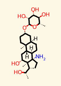 C[C@H](O)[C@H]1CC[C@]2(N)[C@@H]3CC[C@@H]4C[C@@H](O[C@@H]5O[C@@H](C)[C@H](O)[C@@H](O)[C@H]5O)CC[C@]4(C)[C@H]3C[C@@H](O)[C@]12C